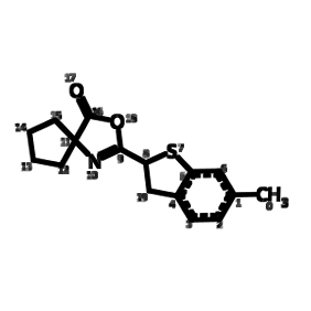 Cc1ccc2c(c1)SC(C1=NC3(CCCC3)C(=O)O1)C2